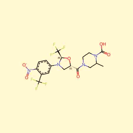 CC1CN(C(=O)[C@@H]2CN(c3ccc([N+](=O)[O-])c(C(F)(F)F)c3)[C@@H](C(F)(F)F)O2)CCN1C(=O)O